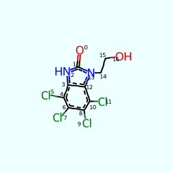 O=c1[nH]c2c(Cl)c(Cl)c(Cl)c(Cl)c2n1CCO